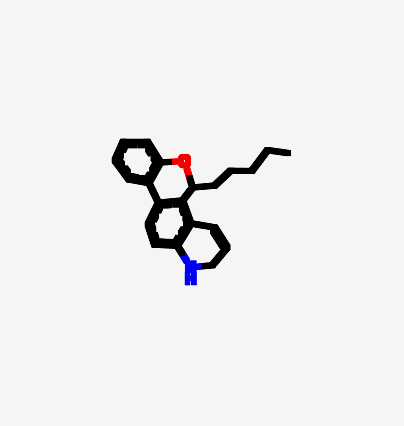 CCCCCC1Oc2ccccc2-c2ccc3c(c21)C=CCN3